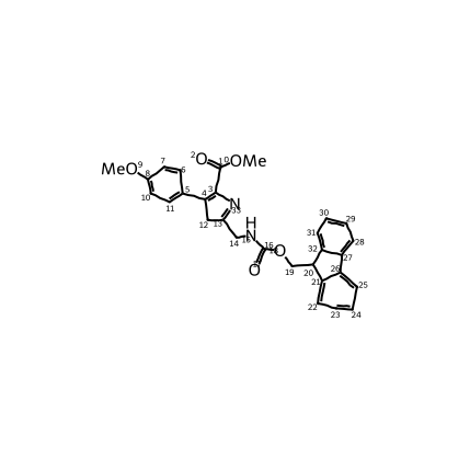 COC(=O)C1=C(c2ccc(OC)cc2)CC(CNC(=O)OCC2c3ccccc3-c3ccccc32)=N1